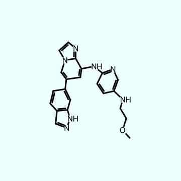 COCCNc1ccc(Nc2cc(-c3ccc4cn[nH]c4c3)cn3ccnc23)nc1